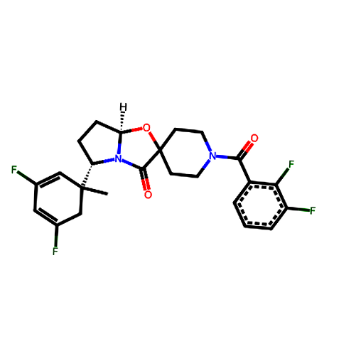 CC1([C@@H]2CC[C@H]3OC4(CCN(C(=O)c5cccc(F)c5F)CC4)C(=O)N23)C=C(F)C=C(F)C1